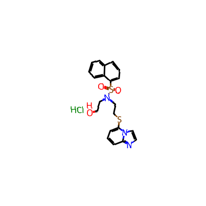 Cl.O=S(=O)(c1cccc2ccccc12)N(CCO)CCSc1cccc2nccn12